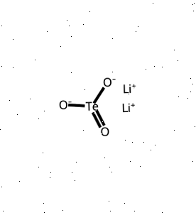 O=[Te]([O-])[O-].[Li+].[Li+]